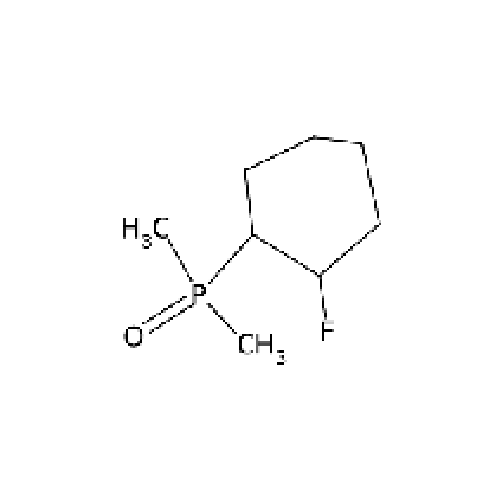 CP(C)(=O)C1CCCCC1F